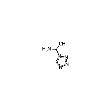 CC(N)n1cnnn1